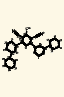 N#Cc1c(-c2cccc(-c3ccccc3)c2)cc(-c2cccc(-c3ccccc3)c2)c(C#N)c1F